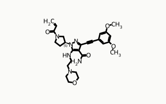 C=CC(=O)N1CC[C@H](n2nc(C#Cc3cc(OC)cc(OC)c3)c(C(N)=O)c2NCCN2CCOCC2)C1